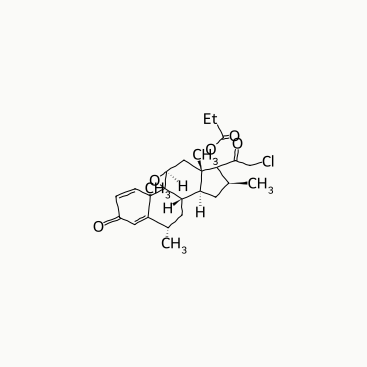 CCC(=O)O[C@]1(C(=O)CCl)[C@@H](C)C[C@H]2[C@@H]3C[C@H](C)C4=CC(=O)C=C[C@]4(C)C34O[C@H]4C[C@@]21C